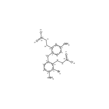 Nc1ccc(Oc2ccc(N)c(Br)c2CC[N+](=O)[O-])c(CC[N+](=O)[O-])c1